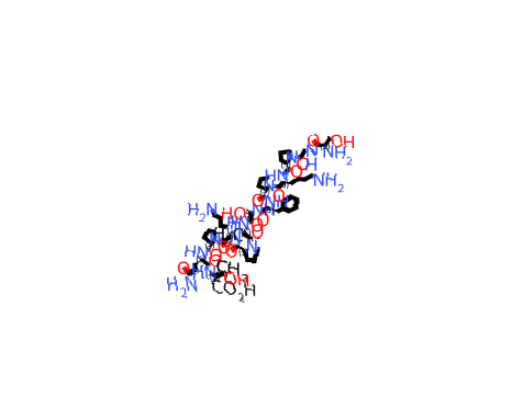 C[C@H](NC(=O)[C@H](CO)NC(=O)[C@H](Cc1ccccc1)NC(=O)[C@@H]1CCCN1C(=O)[C@H](CCCCN)NC(=O)[C@@H]1CCCN1C(=O)CNC(=O)[C@@H](N)CO)C(=O)N1CCC[C@H]1C(=O)N[C@@H](CCCCN)C(=O)N1CCC[C@H]1C(=O)N[C@@H](CCC(N)=O)C(=O)N[C@H](C(=O)O)[C@@H](C)O